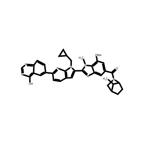 COc1cc(C(=O)N2CC3CCC2C3C)cc2nc(-c3cc4ccc(-c5ccc6ncnc(O)c6c5)nc4n3CC3CC3)n(C)c12